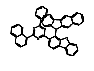 c1ccc(-c2nc(-c3ccc4c(oc5ccccc54)c3-n3c4ccccc4c4cc5ccccc5cc43)nc(-c3cccc4ccccc34)n2)cc1